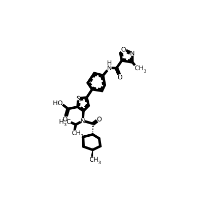 Cc1nocc1C(=O)Nc1ccc(-c2cc(N(C(=O)[C@H]3CC[C@H](C)CC3)C(C)C)c(C(=O)O)s2)cc1